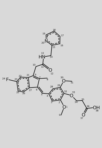 COc1cc(C=C2C(C)=C(CC(=O)NCc3ccccn3)c3cc(F)ccc32)cc(OC)c1OCCC(=O)O